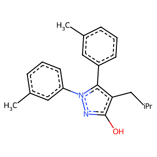 Cc1cccc(-c2c(CC(C)C)c(O)nn2-c2cccc(C)c2)c1